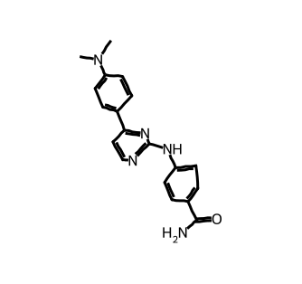 CN(C)c1ccc(-c2ccnc(Nc3ccc(C(N)=O)cc3)n2)cc1